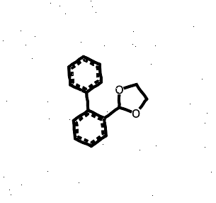 c1ccc(-c2ccccc2C2OCCO2)cc1